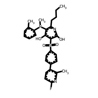 CCCCc1nc(O)c(S(=O)(=O)c2ccc(-c3ccc(F)nc3C)cc2)c(O)c1N(C)c1ccccc1C